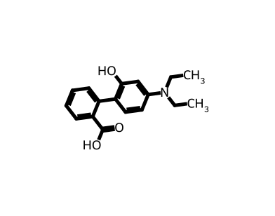 CCN(CC)c1ccc(-c2ccccc2C(=O)O)c(O)c1